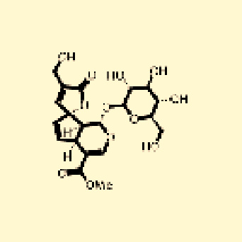 COC(=O)C1=CO[C@@H](O[C@@H]2O[C@H](CO)[C@@H](O)[C@H](O)[C@H]2O)[C@H]2[C@@H]1C=C[C@@]21C=C(CO)C(=O)O1